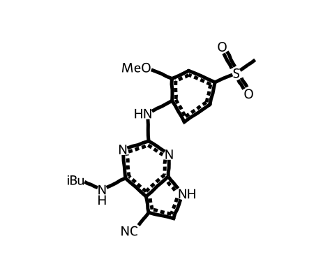 CCC(C)Nc1nc(Nc2ccc(S(C)(=O)=O)cc2OC)nc2[nH]cc(C#N)c12